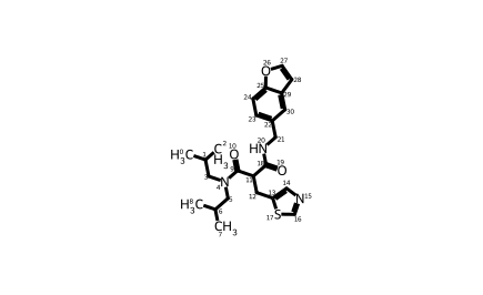 CC(C)CN(CC(C)C)C(=O)C(Cc1cncs1)C(=O)NCc1ccc2occc2c1